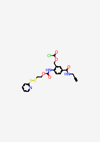 C#CCNC(=O)c1ccc(NC(=O)OCCSSc2ccccn2)c(COC(=O)Cl)c1